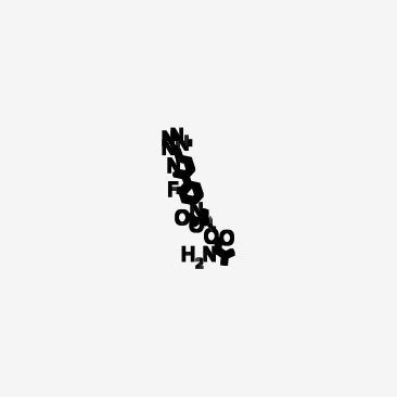 CC(C)C(N)C(=O)OC[C@H]1CN(c2ccc(-c3ccc(-c4nnnn4C)nc3)c(F)c2)C(=O)O1